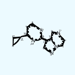 c1cn2ncc(-c3nccc(C4CC4)n3)c2cn1